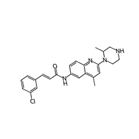 Cc1cc(N2CCNCC2C)nc2ccc(NC(=O)C=Cc3cccc(Cl)c3)cc12